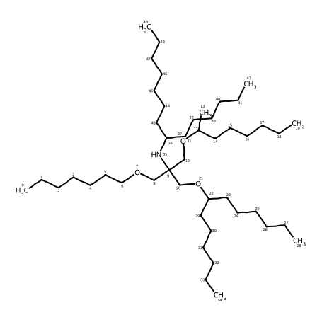 CCCCCCCOCC(COC(C)CCCCCC)(COC(CCCCCC)CCCCCC)NC(CCCCCC)CCCCCCC